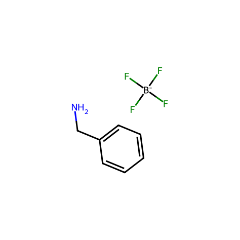 F[B-](F)(F)F.NCc1ccccc1